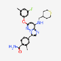 Cc1cc(F)cc(Oc2cc(NCC3CCSCC3)c3ncc(-c4ccc(C(N)=O)c(C)c4)n3n2)c1